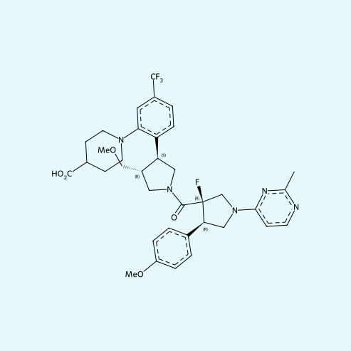 COC[C@H]1CN(C(=O)[C@]2(F)CN(c3ccnc(C)n3)C[C@H]2c2ccc(OC)cc2)C[C@@H]1c1ccc(C(F)(F)F)cc1N1CCC(C(=O)O)CC1